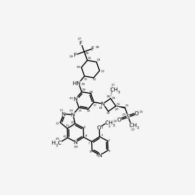 COc1ccncc1-c1cc2c(cnn2-c2cc(N3C[C@H](CS(C)(=O)=O)[C@H]3C)cc(NC3CCCC(C(F)(F)F)C3)n2)c(C)n1